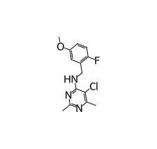 COc1ccc(F)c(CNc2nc(C)nc(C)c2Cl)c1